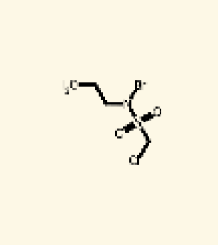 CCCN(Br)S(=O)(=O)CCl